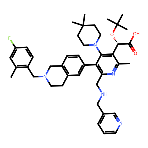 Cc1cc(F)ccc1CN1CCc2cc(-c3c(CNCc4cccnc4)nc(C)c([C@H](OC(C)(C)C)C(=O)O)c3N3CCC(C)(C)CC3)ccc2C1